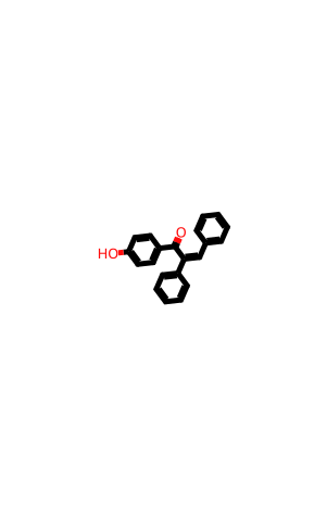 O=C(C(=Cc1ccccc1)c1ccccc1)c1ccc(O)cc1